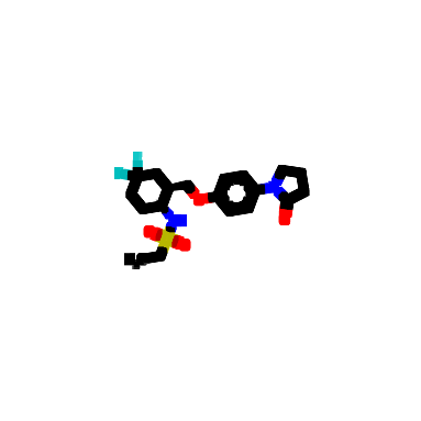 CCS(=O)(=O)N[C@H]1CCC(F)(F)C[C@H]1COc1ccc(N2CCCC2=O)cc1